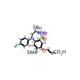 CCCC[C@@H]1CN(c2ccc(F)cc2)c2cc(SC)c(O/C=C/C(=O)O)cc2S(=O)(=O)N1